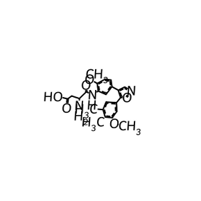 COc1ccc(-c2cnoc2-c2cc(C)c(C)c(OC)c2)cc1NC(=O)C(N)CC(=O)O